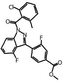 COC(=O)c1ccc(-c2nn(C(=O)c3c(C)cccc3Cl)c3cccc(F)c23)c(F)c1